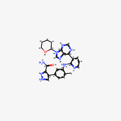 Cc1ccc(-c2c[nH]nc2C(N)=O)cc1Nc1ncccc1-c1ncnc2c1ncn2C1CCCCO1